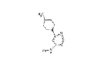 CC(C)Nc1cc(N2CCN(C)CC2)ncn1